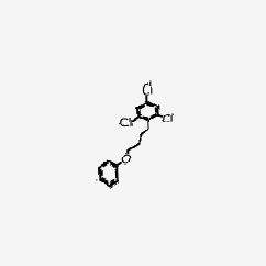 Clc1cc(Cl)c(CCCCOc2cc[c]cc2)c(Cl)c1